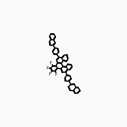 Fc1c(F)c(F)c2c3cc(-c4ccc(-c5ccc6ccccc6c5)cc4)c4ccccc4c3c3c4ccccc4c(-c4ccc(-c5ccc6ccccc6c5)cc4)cc3c2c1F